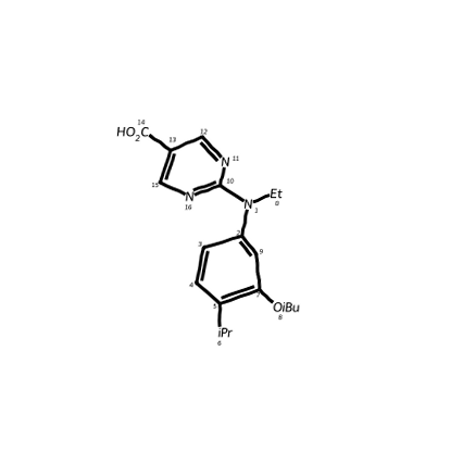 CCN(c1ccc(C(C)C)c(OCC(C)C)c1)c1ncc(C(=O)O)cn1